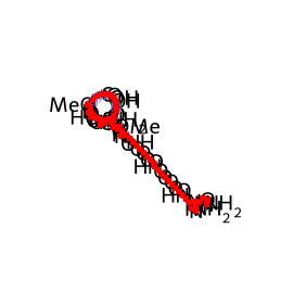 CO[C@H]1C[C@@H]2CC[C@@H](C)[C@@](O)(O2)C(=O)C(=O)N2CCCC[C@H]2C(=O)O[C@H]([C@H](N)C[C@@H]2CC[C@H](n3cc(CCCC(=O)NCCOCCOCCOCCC(=O)NCCOCCOCCOCCOCCC(=O)NCCCCn4nc(-c5ccc6oc(N)nc6c5)c5c(N)ncnc54)nn3)[C@H](OC)C2)CC(=O)[C@H](C)/C=C(\C)[C@@H](O)[C@@H](O)C(=O)[C@H](C)C[C@H](C)/C=C/C=C/C=C/1C